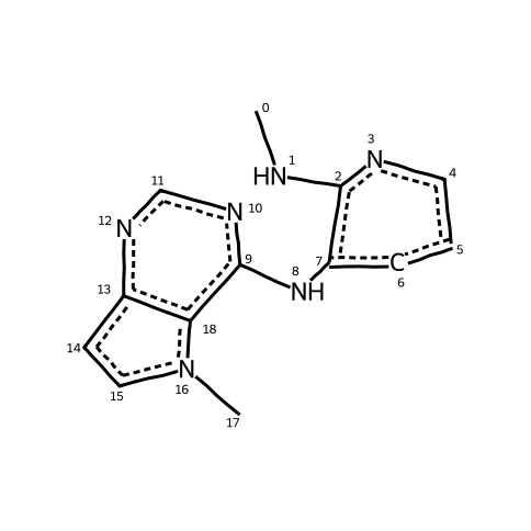 CNc1ncccc1Nc1ncnc2ccn(C)c12